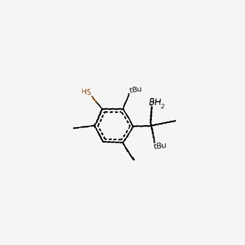 BC(C)(c1c(C)cc(C)c(S)c1C(C)(C)C)C(C)(C)C